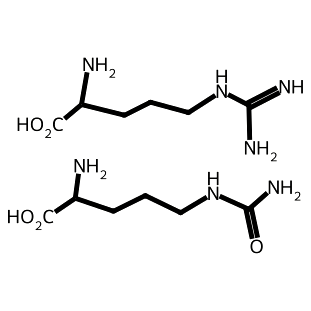 N=C(N)NCCCC(N)C(=O)O.NC(=O)NCCCC(N)C(=O)O